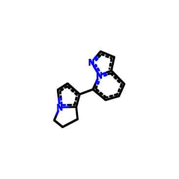 c1cc(-c2ccn3c2CCC3)n2nccc2c1